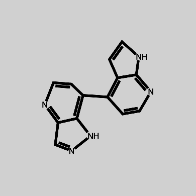 c1cc(-c2ccnc3[nH]ccc23)c2[nH]ncc2n1